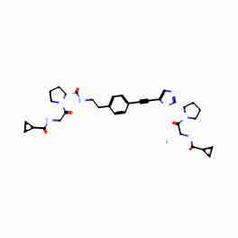 CC(C)[C@@H](NC(=O)C1CC1)C(=O)N1CCC[C@H]1C(=O)NCCc1ccc(C#Cc2cnc([C@@H]3CCCN3C(=O)[C@H](NC(=O)C3CC3)C(C)C)[nH]2)cc1